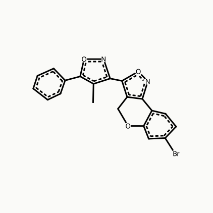 Cc1c(-c2onc3c2COc2cc(Br)ccc2-3)noc1-c1ccccc1